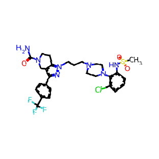 CS(=O)(=O)Nc1cccc(Cl)c1N1CCN(CCCn2nc(-c3ccc(C(F)(F)F)cc3)c3c2CCN(C(N)=O)C3)CC1